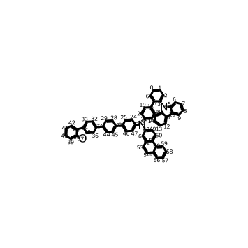 c1ccc(-n2c3ccccc3c3ccccc32)c(-c2ccc(N(c3ccc(-c4ccc(-c5ccc6c(c5)oc5ccccc56)cc4)cc3)c3ccc4c(ccc5ccccc54)c3)cc2)c1